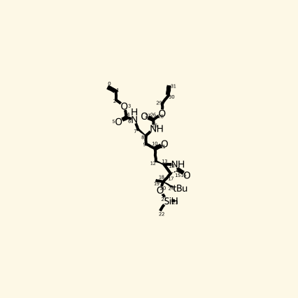 C=CCOC(=O)NC[C@H](CC(=O)C[C@H]1NC(=O)[C@@H]1[C@@](C)(O[SiH](C)C)C(C)(C)C)NC(=O)OCC=C